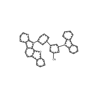 N#Cc1cc(-c2cccc(-n3c4ncccc4c4ccc5c6ccccc6oc5c43)c2)cc(-n2c3ccccc3c3ccccc32)c1